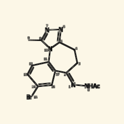 CC(=O)N/N=C1\CCc2nnc(C)n2-c2ccc(Br)cc21